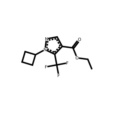 CCOC(=O)c1cnn(C2CCC2)c1C(F)(F)F